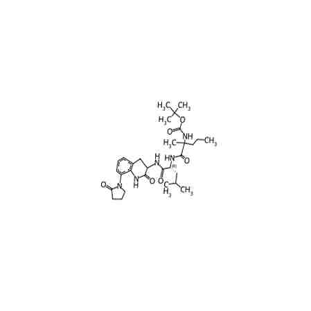 CCCC(C)(NC(=O)OC(C)(C)C)C(=O)N[C@H](CC(C)C)C(=O)NC1Cc2cccc(N3CCCC3=O)c2NC1=O